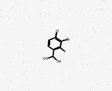 OC(O)c1ccc(Cl)c(Br)c1F